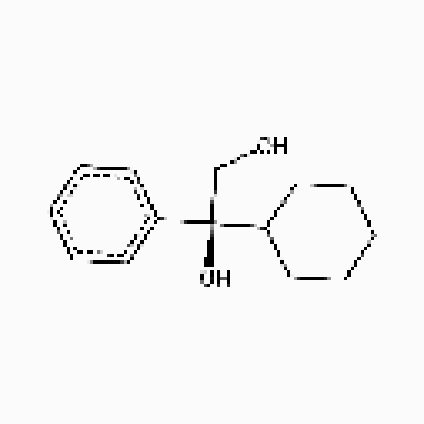 OC[C@@](O)(c1ccccc1)C1CCCCC1